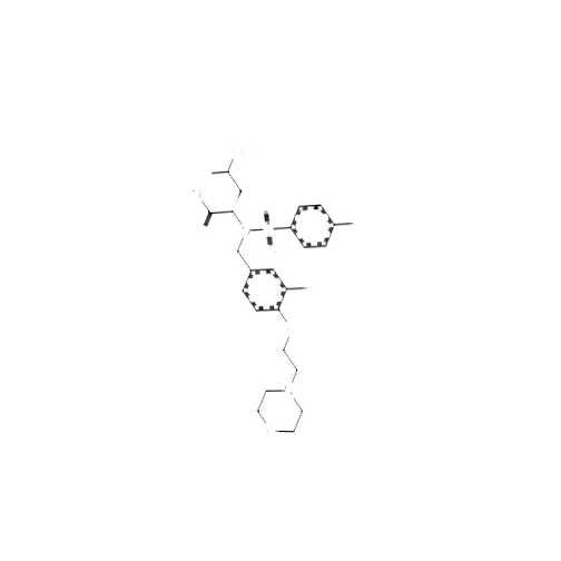 CC(C)C[C@H](C(N)=O)N(Cc1ccc(OCCN2CCOCC2)c(F)c1)S(=O)(=O)c1ccc(Cl)cc1